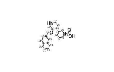 O=C(O)N1C=CC=C(C2CCNCC2OCc2ccc3ccccc3c2)C1